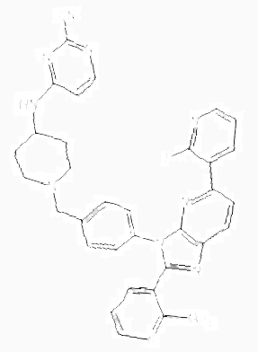 N#Cc1nccc(NC2CCN(Cc3ccc(-n4c(-c5cccnc5N)nc5ccc(-c6cccnc6F)nc54)cc3)CC2)n1